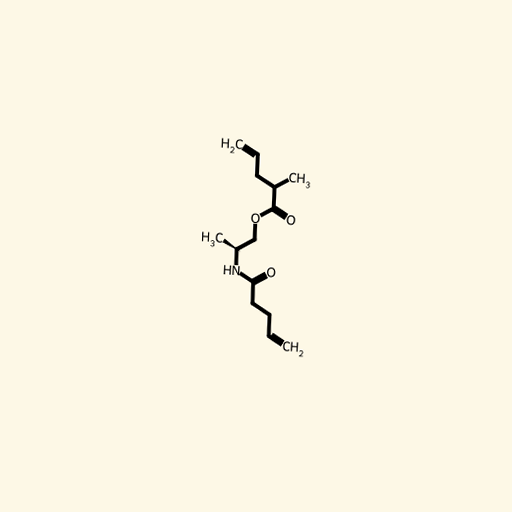 C=CCCC(=O)N[C@@H](C)COC(=O)C(C)CC=C